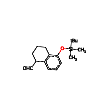 CC(C)(C)[Si](C)(C)Oc1cccc2c1CCCC2C=O